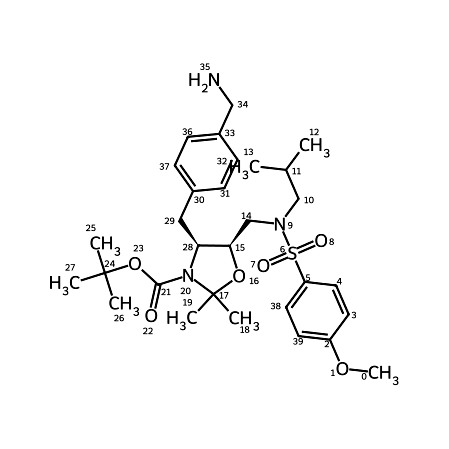 COc1ccc(S(=O)(=O)N(CC(C)C)C[C@H]2OC(C)(C)N(C(=O)OC(C)(C)C)[C@H]2Cc2ccc(CN)cc2)cc1